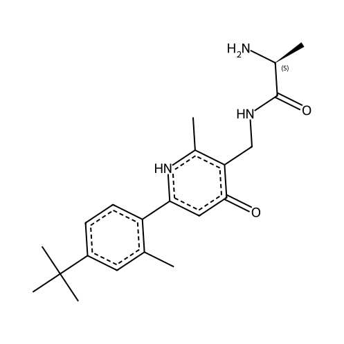 Cc1cc(C(C)(C)C)ccc1-c1cc(=O)c(CNC(=O)[C@H](C)N)c(C)[nH]1